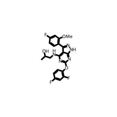 COc1cc(F)ccc1-c1n[nH]c2nc(Oc3ccc(F)cc3F)nc(NCC(C)O)c12